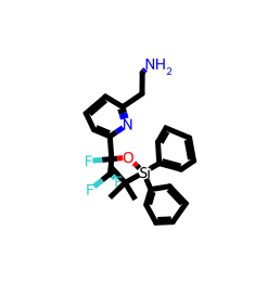 CC(C)(C)[Si](OC(F)(c1cccc(CCN)n1)C(F)F)(c1ccccc1)c1ccccc1